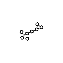 c1ccc(N2c3ccccc3-c3ccccc3-c3cc(-c4ccc(-c5ccc6c7ccccc7c7ccccc7c6c5)cc4)ccc32)cc1